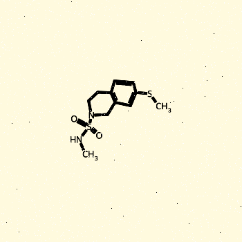 CNS(=O)(=O)N1CCc2ccc(SC)cc2C1